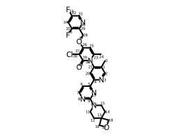 Cc1cnc(-c2ccnc(N3CCC4(CC3)COC4)n2)cc1-n1c(C)cc(OCc2ncc(F)cc2F)c(Cl)c1=O